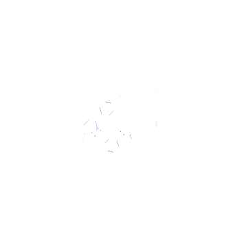 CCOC(=O)Nc1cccc(Cn2nc(-c3ccc(OCCCCO)cc3)ccc2=O)c1